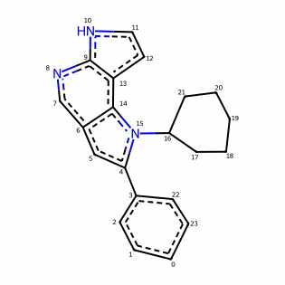 c1ccc(-c2cc3cnc4[nH]ccc4c3n2C2CCCCC2)cc1